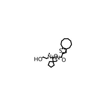 CN(CCO)C(=O)C1(CNC(=O)c2cc3c(s2)CCCCCCC3)CCCC1